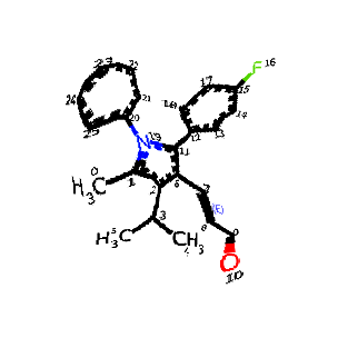 Cc1c(C(C)C)c(/C=C/C=O)c(-c2ccc(F)cc2)n1-c1ccccc1